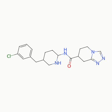 O=C(NC1CCC(Cc2cccc(Cl)c2)CN1)C1CCn2cnnc2C1